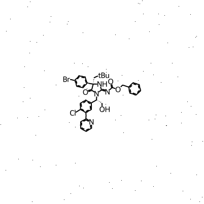 CC(C)(C)C[C@]1(c2ccc(Br)cc2)NC(=NC(=O)OCc2ccccc2)N([C@H](CO)c2ccc(Cl)c(-c3ccccn3)c2)C1=O